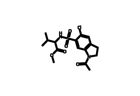 COC(=O)C(NS(=O)(=O)c1cc2c(cc1Cl)CCN2C(C)=O)C(C)C